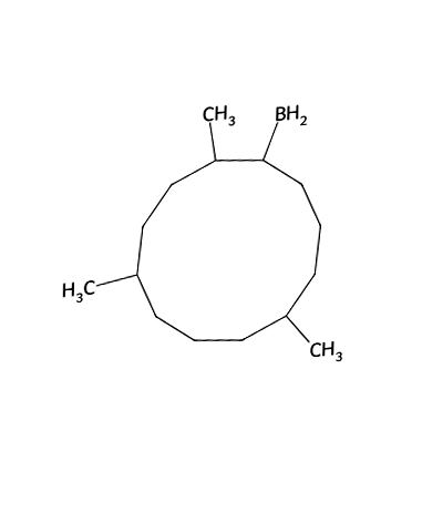 BC1CCCC(C)CCCC(C)CCC1C